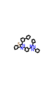 c1ccc(-c2cccc(-c3nc(-c4cccc(-c5nc(-c6ccccc6)nc(-c6ccccc6)n5)c4)nc4c3sc3ccccc34)c2)cc1